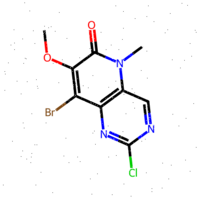 COc1c(Br)c2nc(Cl)ncc2n(C)c1=O